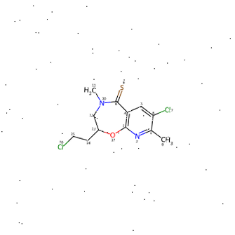 Cc1nc2c(cc1Cl)C(=S)N(C)CC(CCCl)O2